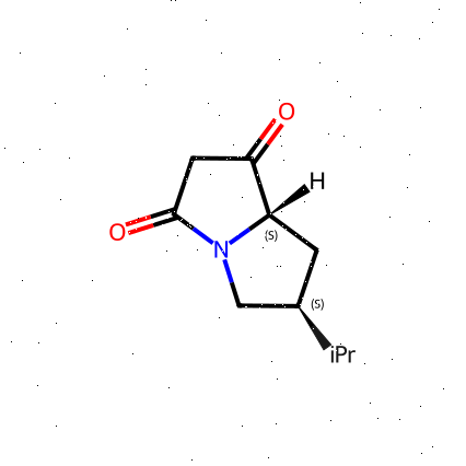 CC(C)[C@@H]1C[C@H]2C(=O)CC(=O)N2C1